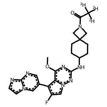 [2H]C([2H])([2H])C(=O)N1CC2(CCC(Nc3nc(OC)c4c(-c5cnc6nccn6c5)c(F)cn4n3)CC2)C1